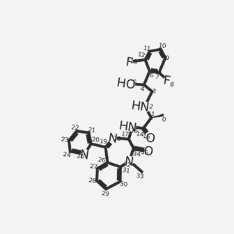 C[C@H](NCC(O)c1c(F)cccc1F)C(=O)NC1N=C(c2ccccn2)c2ccccc2N(C)C1=O